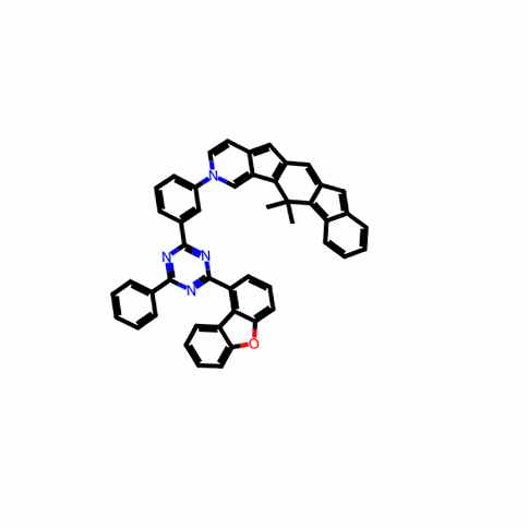 CC1(C)C2=c3ccccc3=CC2=Cc2cc3ccn(-c4cccc(-c5nc(-c6ccccc6)nc(-c6cccc7oc8ccccc8c67)n5)c4)cc-3c21